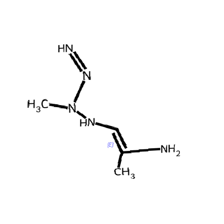 C/C(N)=C\NN(C)N=N